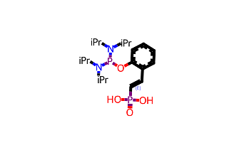 CC(C)N(C(C)C)P(Oc1ccccc1/C=C/P(=O)(O)O)N(C(C)C)C(C)C